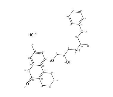 Cc1cc(OCC(O)CNC(C)COc2ccccc2)c2c3c(c(=O)oc2c1)CCCC3.Cl